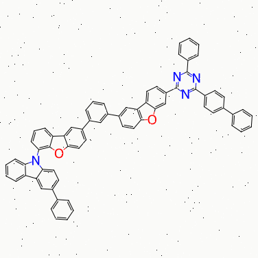 c1ccc(-c2ccc(-c3nc(-c4ccccc4)nc(-c4ccc5c(c4)oc4ccc(-c6cccc(-c7ccc8oc9c(-n%10c%11ccccc%11c%11cc(-c%12ccccc%12)ccc%11%10)cccc9c8c7)c6)cc45)n3)cc2)cc1